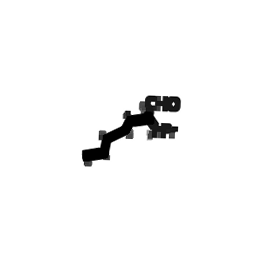 C=CCC/C=C(/C=O)CCC